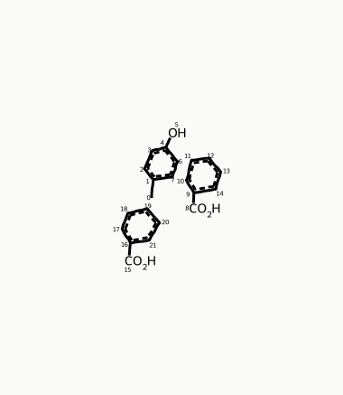 Cc1ccc(O)cc1.O=C(O)c1ccccc1.O=C(O)c1ccccc1